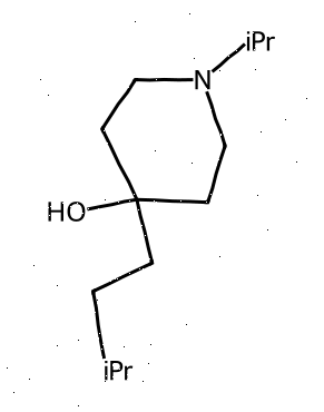 CC(C)CCC1(O)CCN(C(C)C)CC1